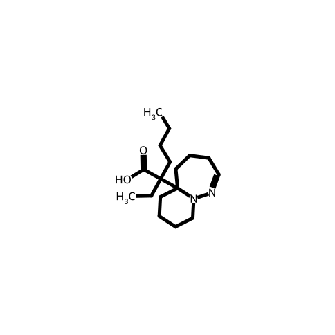 CCCCC(CC)(C(=O)O)C12CCCC=NN1CCCC2